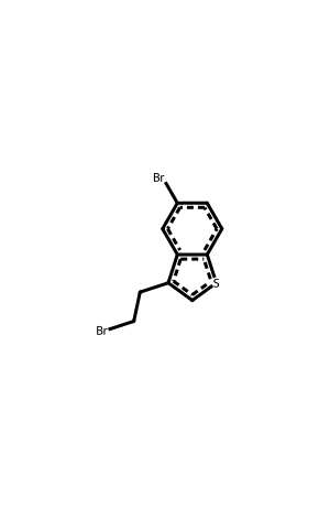 BrCCc1csc2ccc(Br)cc12